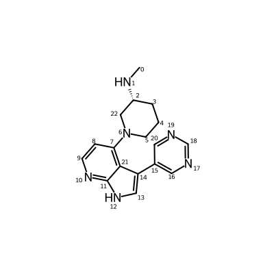 CN[C@@H]1CCCN(c2ccnc3[nH]cc(-c4cncnc4)c23)C1